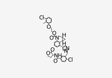 Cc1c(Cl)cccc1OCCOC(=O)N1C[C@@H]2C[C@@H]2c2c(-c3cnn(Cc4cc(C(=O)NC5CCOC5=O)ccc4Cl)c3)cccc21